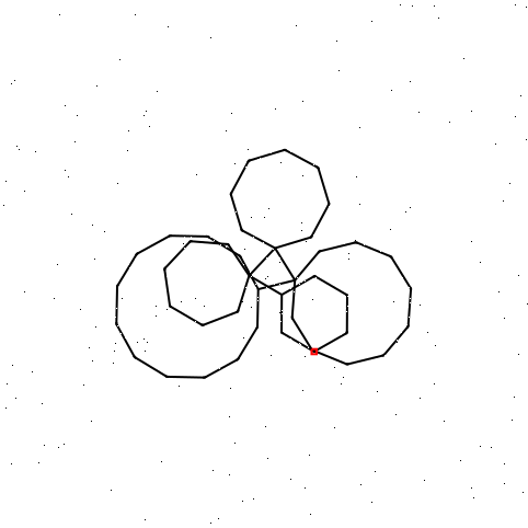 C1CCCCCC(C2(C3(C4(C5CCCCC5)CCCCCC4)CCCCCCC3)CCCCCCCCC2)CCCCC1